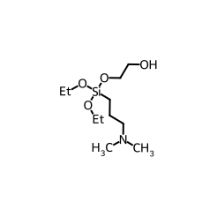 CCO[Si](CCCN(C)C)(OCC)OCCO